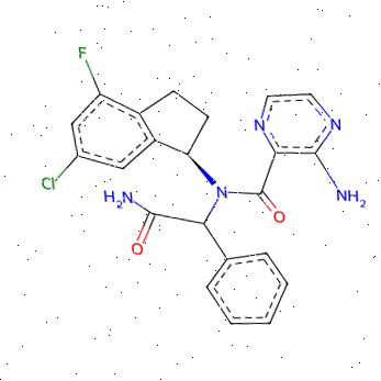 NC(=O)C(c1ccccc1)N(C(=O)c1nccnc1N)[C@@H]1CCc2c(F)cc(Cl)cc21